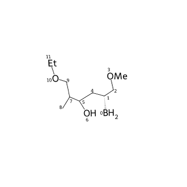 B[C@@H](COC)CC(O)C(C)COCC